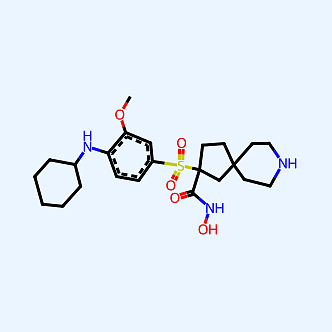 COc1cc(S(=O)(=O)C2(C(=O)NO)CCC3(CCNCC3)C2)ccc1NC1CCCCC1